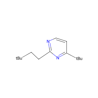 CC(C)(C)CCc1nccc(C(C)(C)C)n1